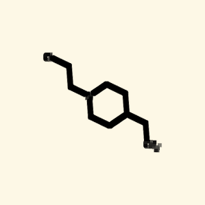 [CH2]CC1CCN(CCCl)CC1